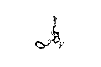 COc1cc(OCc2ccccc2)c2oc(CCBr)cc2c1